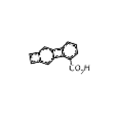 O=C(O)c1cccc2c3cc4ccc4cc3c12